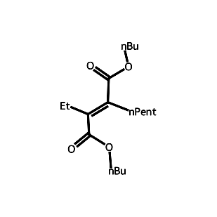 CCCCCC(C(=O)OCCCC)=C(CC)C(=O)OCCCC